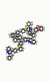 C1=Cc2sc3c(-c4ccc(-c5ccc6c(c5)C(c5ccccc5)(c5cccc(-c7cc8sc9c(-c%10ccc(-c%11c%12ccccc%12nc%12c%11sc%11ccccc%11%12)cc%10)cccc9c8cc7-c7ccc8sc9c(-c%10ccc(-c%11ccc%12oc%13ccccc%13c%12c%11)cc%10)c%10ccccc%10nc9c8c7)c5)c5ccccc5-6)cc4)c4ccccc4nc3c2CC1